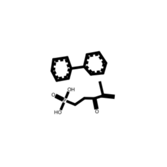 C=C(C)C(=O)CCP(=O)(O)O.c1ccc(-c2ccccc2)cc1